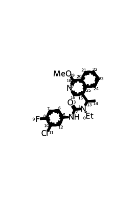 CCN(C(=O)Nc1ccc(F)c(Cl)c1)C(C)c1cnc(OC)c2ccccc12